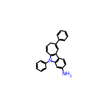 Nc1ccc2c3c(n(-c4ccccc4)c2c1)C=CCC(c1ccccc1)=C3